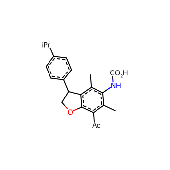 CC(=O)c1c(C)c(NC(=O)O)c(C)c2c1OCC2c1ccc(C(C)C)cc1